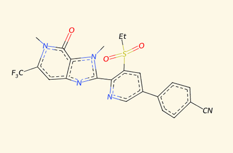 CCS(=O)(=O)c1cc(-c2ccc(C#N)cc2)cnc1-c1nc2cc(C(F)(F)F)n(C)c(=O)c2n1C